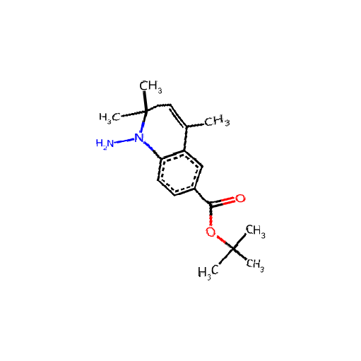 CC1=CC(C)(C)N(N)c2ccc(C(=O)OC(C)(C)C)cc21